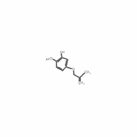 C=C(C)COc1ccc(OC(C)=O)c(O)c1